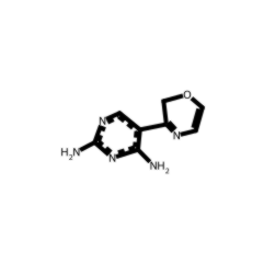 Nc1ncc(C2=NC=COC2)c(N)n1